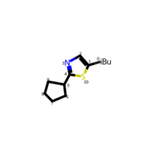 CCC(C)c1cnc(C2CCCC2)s1